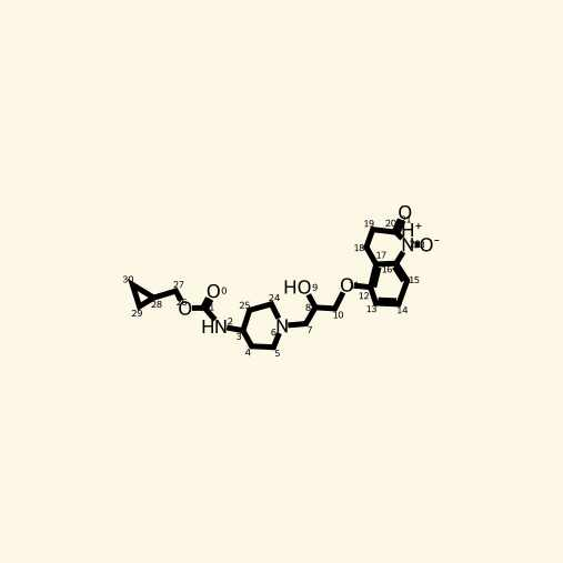 O=C(NC1CCN(CC(O)COc2cccc3c2CCC(=O)[NH+]3[O-])CC1)OCC1CC1